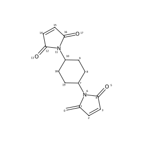 C=C1C=CC(=O)N1C1CCC(N2C(=O)C=CC2=O)CC1